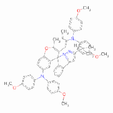 C=C/C(=C\C1=C(C)Oc2ccc(N(c3ccc(OC)cc3)c3ccc(OC)cc3)cc2C12c1ccccc1-c1cc(C(C)(C)C)nn12)N(c1ccc(OC)cc1)c1ccc(OC)cc1